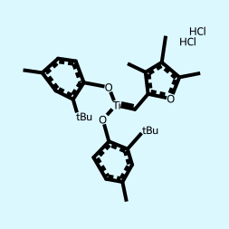 Cc1ccc([O][Ti](=[CH]c2oc(C)c(C)c2C)[O]c2ccc(C)cc2C(C)(C)C)c(C(C)(C)C)c1.Cl.Cl